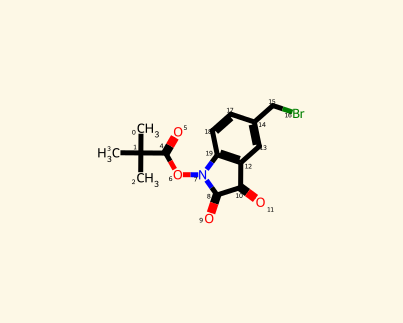 CC(C)(C)C(=O)ON1C(=O)C(=O)c2cc(CBr)ccc21